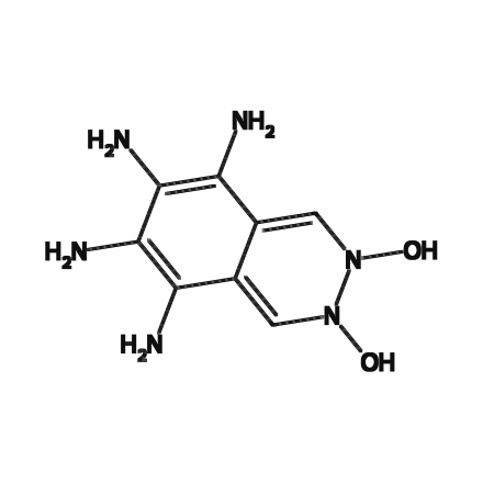 Nc1c(N)c(N)c2c(c1N)=CN(O)N(O)C=2